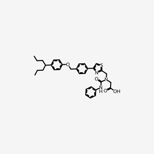 CCCC(CCC)c1ccc(OCc2ccc(-c3csc(CN(CC(=O)O)C(=O)Nc4ccccc4)n3)cc2)cc1